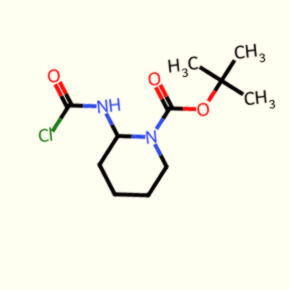 CC(C)(C)OC(=O)N1CCCCC1NC(=O)Cl